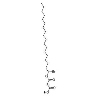 CCCCCCCCCCCCCCCCCC(Br)OC(=O)CC(=O)O